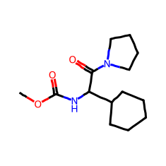 COC(=O)NC(C(=O)N1CCCC1)C1CCCCC1